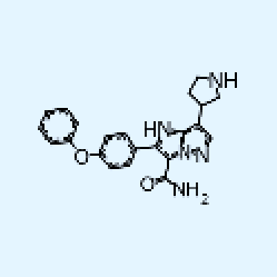 NC(=O)c1c(-c2ccc(Oc3ccccc3)cc2)[nH]c2c(C3CCNC3)cnn12